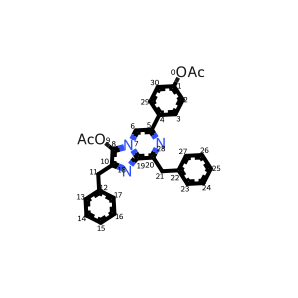 CC(=O)Oc1ccc(-c2cn3c(OC(C)=O)c(Cc4ccccc4)nc3c(Cc3ccccc3)n2)cc1